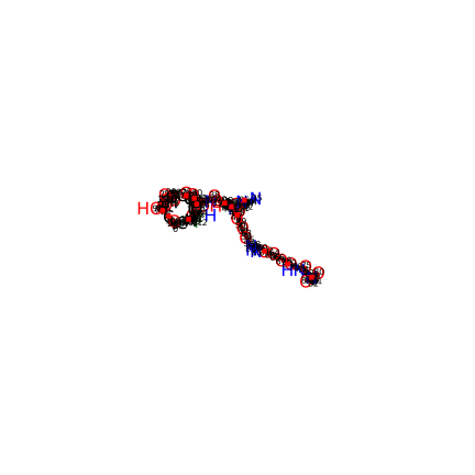 C=C1CC2CC[C@]34C[C@@H](O)C(O3)C3CC(O4)[C@H]4OC(CCC4O3)CC(=O)CC3[C@@H](OC)C(CC(O)CNC(=O)OCc4ccc(N(CCOCCOCCOCCn5cc(COCCOCCOCCOCCNC(=O)CCN6C(=O)C=CC6=O)nn5)S(=O)(=O)c5ccc(C#N)cn5)cc4)O[C@H]3CC3O[C@@H](CCC1O2)C[C@@H](F)C3=C